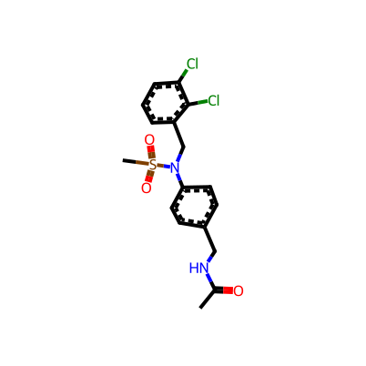 CC(=O)NCc1ccc(N(Cc2cccc(Cl)c2Cl)S(C)(=O)=O)cc1